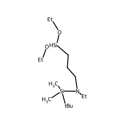 CCO[SiH](CCCN(CC)[Si](C)(C)C(C)(C)C)OCC